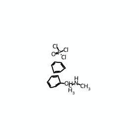 CNC.O=P(Cl)(Cl)Cl.Oc1ccccc1.c1ccccc1